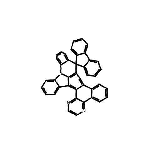 c1ccc2c(c1)-c1ccccc1C21c2ccccc2-n2c3ccccc3c3c4c(cc1c32)c1ccccc1c1nccnc14